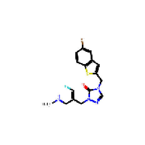 O=C(O)NCC(=CF)Cn1ncn(Cc2cc3cc(Br)ccc3s2)c1=O